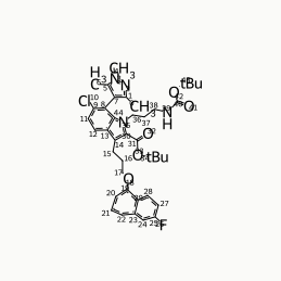 Cc1nn(C)c(C)c1-c1c(Cl)ccc2c(CCCOc3cccc4cc(F)ccc34)c(C(=O)OC(C)(C)C)n(CCCNC(=O)OC(C)(C)C)c12